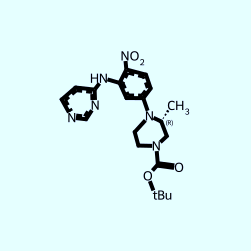 C[C@@H]1CN(C(=O)OC(C)(C)C)CCN1c1ccc([N+](=O)[O-])c(Nc2ccncn2)c1